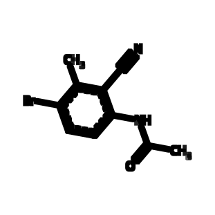 CC(=O)Nc1ccc(Br)c(C)c1C#N